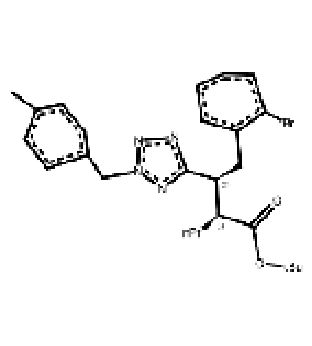 CCC[C@H](C(=O)OC(C)(C)C)[C@H](Cc1ccccc1Br)c1nnn(Cc2ccc(C)cc2)n1